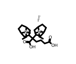 CC[N+]1(C)C2CCC1CC(C(CCCC(=O)O)(C(=O)O)C1CC3CCC(C1)[N+]3(C)CC)C2.[I-].[I-]